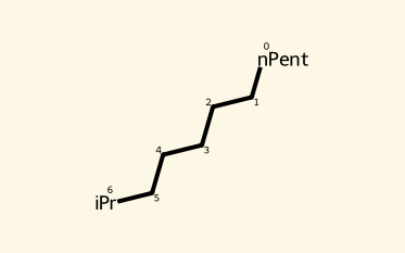 [CH2]CCCCCCCCCC(C)C